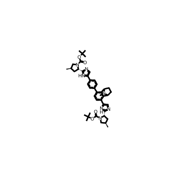 C[C@@H]1C[C@@H](c2ncc(-c3ccc(-c4ccc(-c5cnc([C@@H]6C[C@@H](C)CN6C(=O)OC(C)(C)C)[nH]5)c5c4C4CCC5N4C)cc3)[nH]2)N(C(=O)OC(C)(C)C)C1